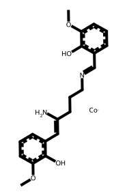 COc1cccc(C=NCCCC(N)=Cc2cccc(OC)c2O)c1O.[Co]